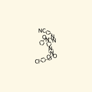 N#Cc1ccc(Cn2cncc2CN(C(=O)c2ccccc2)c2ccc(N3CCN(C(=O)c4ccc(-c5ccc(Cl)cc5)o4)CC3)cc2)cc1